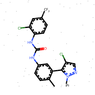 Cc1ccc(NC(=O)Nc2ccc(C(F)(F)F)cc2Cl)cc1-c1c(Cl)cnn1C(C)C